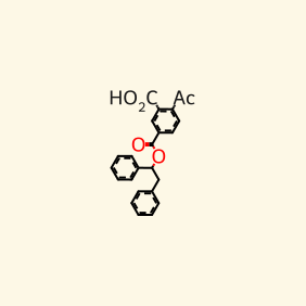 CC(=O)c1ccc(C(=O)OC(Cc2ccccc2)c2ccccc2)cc1C(=O)O